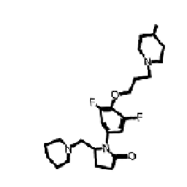 CC1CCN(CCCOc2c(F)cc(N3C(=O)CCC3CN3CCCCC3)cc2F)CC1